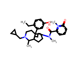 CCc1ccc(O)cc1C12CCN(CC3CC3)C(C)C13CCC(N(C)C(=O)c1cccc(=O)n1C)C2CC3